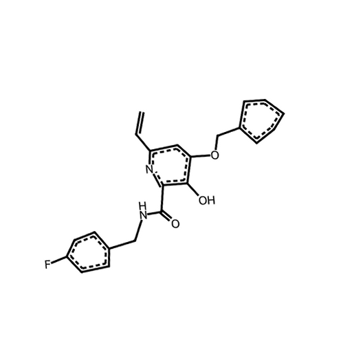 C=Cc1cc(OCc2ccccc2)c(O)c(C(=O)NCc2ccc(F)cc2)n1